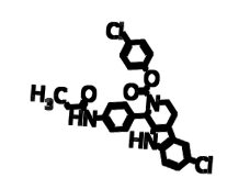 CCC(=O)Nc1ccc(C2c3[nH]c4ccc(Cl)cc4c3CCN2C(=O)Oc2ccc(Cl)cc2)cc1